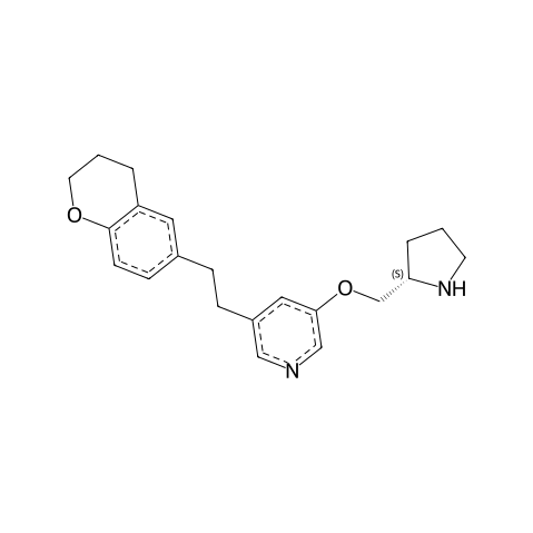 c1cc2c(cc1CCc1cncc(OC[C@@H]3CCCN3)c1)CCCO2